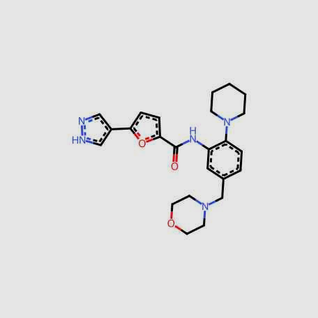 O=C(Nc1cc(CN2CCOCC2)ccc1N1CCCCC1)c1ccc(-c2cn[nH]c2)o1